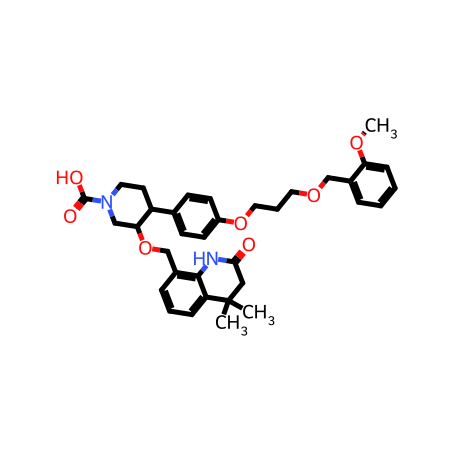 COc1ccccc1COCCCOc1ccc(C2CCN(C(=O)O)CC2OCc2cccc3c2NC(=O)CC3(C)C)cc1